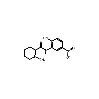 CN1CCCCC1C(=O)Nc1cc([N+](=O)[O-])ccc1N